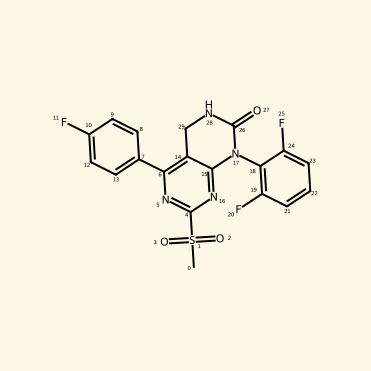 CS(=O)(=O)c1nc(-c2ccc(F)cc2)c2c(n1)N(c1c(F)cccc1F)C(=O)NC2